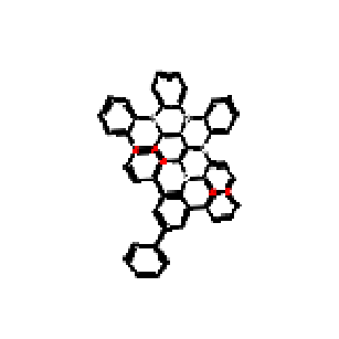 c1ccc(-c2cc(-c3ccccc3)c(N3c4ccccc4B4c5ccccc5N5c6ccccc6B6c7ccccc7Oc7cc3c4c5c76)c(-c3ccccc3)c2)cc1